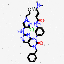 COCCn1cc(Nc2ncc3c(n2)N(c2cccc(NC(=O)/C=C/CN(C)C)c2)C(=O)N(Cc2ccccc2)C3)c(Cl)n1